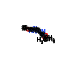 CC(C)(C)OC(=O)N1CCC(CNc2ccc3nc(-c4ccc(OCc5ccccc5)cc4)[nH]c3n2)CC1